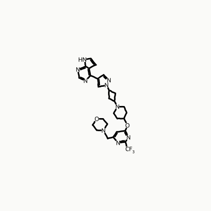 FC(F)(F)c1nc(CN2CCOCC2)cc(OC2CCN(C3CC(n4cc(-c5ncnc6[nH]ccc56)cn4)C3)CC2)n1